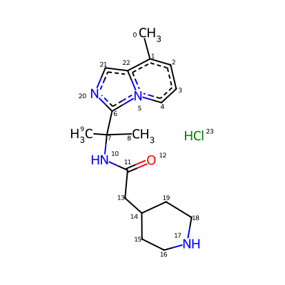 Cc1cccn2c(C(C)(C)NC(=O)CC3CCNCC3)ncc12.Cl